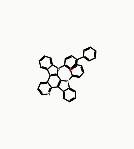 c1ccc(-c2ccc(-n3c4ccccc4c4c5cccnc5c5c6ccccc6n(-c6ccccc6)c5c43)cc2)cc1